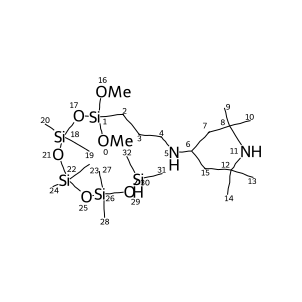 CO[Si](CCCNC1CC(C)(C)NC(C)(C)C1)(OC)O[Si](C)(C)O[Si](C)(C)O[Si](C)(C)O[SiH](C)C